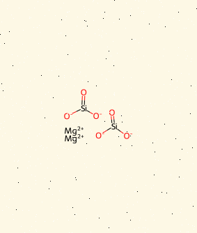 O=[Si]([O-])[O-].O=[Si]([O-])[O-].[Mg+2].[Mg+2]